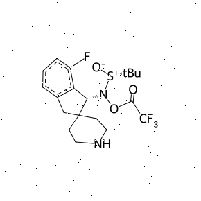 CC(C)(C)[S@@+]([O-])N(OC(=O)C(F)(F)F)[C@H]1c2c(F)cccc2CC12CCNCC2